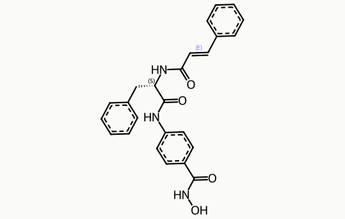 O=C(/C=C/c1ccccc1)N[C@@H](Cc1ccccc1)C(=O)Nc1ccc(C(=O)NO)cc1